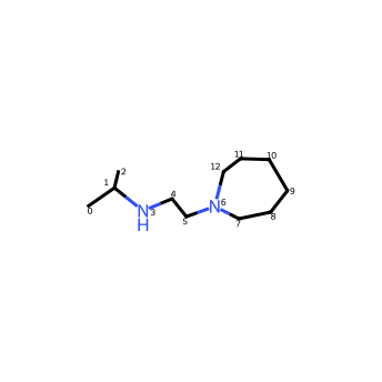 CC(C)NCCN1CCCCCC1